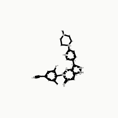 Cc1cc(C#N)cc(F)c1-n1nc2c(-c3ccc(N4CCN(C)CC4)nc3)n[nH]c2cc1=O